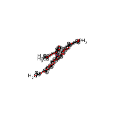 C=CC(=O)OCCCCOC(=O)C1CCC(OC(=O)C2CCC(C(=O)Oc3ccc(OC(=O)C4CCC(C(=O)OC5CCC(C(=O)OCCCCOC(=O)C=C)CC5)CC4)c(/C=N/N(CCCCCCOC(=O)C(=C)C)c4nc5ccccc5s4)c3)CC2)CC1